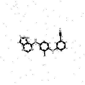 Cc1cc(Nc2ncnc3cn[nH]c23)ccc1Oc1cccc(C#N)c1